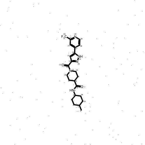 CC1CCC(NC(=O)C2CCN(C(=O)c3cc(-c4ccnc(C(F)(F)F)c4)[nH]n3)CC2)CC1